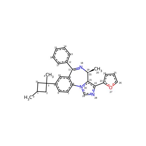 CC1CC(C)(c2ccc3c(c2)C(c2ccccc2)=N[C@@H](C)c2c(-c4ccco4)ncn2-3)C1